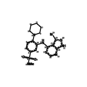 CNS(=O)(=O)c1ccc(N2CCCCC2)c(Nc2ncnc3[nH]nc(Br)c23)c1